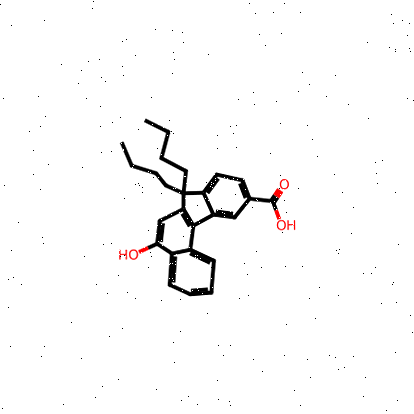 CCCCC1(CCCC)c2ccc(C(=O)O)cc2-c2c1cc(O)c1ccccc21